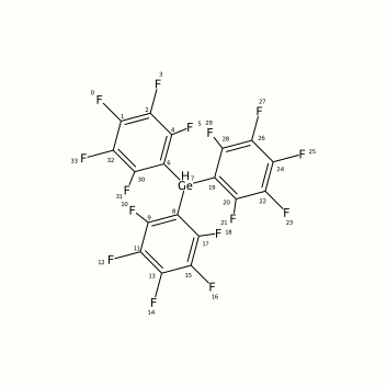 Fc1c(F)c(F)[c]([GeH]([c]2c(F)c(F)c(F)c(F)c2F)[c]2c(F)c(F)c(F)c(F)c2F)c(F)c1F